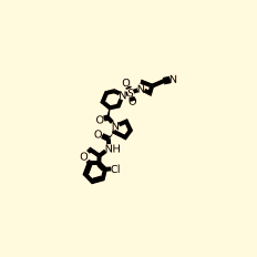 N#CC1CN(S(=O)(=O)N2CCC[C@H](C(=O)N3CCC[C@@H]3C(=O)NC3COc4cccc(Cl)c43)C2)C1